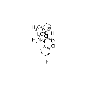 CC1(C)[C@H]2CC[C@]1(C)C=C2C(=O)N(N)c1ccc(F)cc1Cl